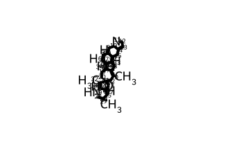 CC1=C2C[C@H]3[C@@H](CC[C@@H]4CC5=NCC=C5C[C@@]43C)[C@@H]2CC[C@@]2(C1)O[C@@H]1C[C@H](C)CN[C@H]1[C@H]2C